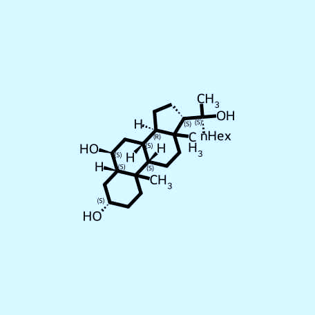 CCCCCC[C@](C)(O)[C@H]1CC[C@@H]2[C@H]3C[C@H](O)[C@H]4C[C@@H](O)CCC4(C)[C@H]3CCC21C